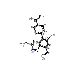 CN(C)/C=N\c1cc(-c2ncc(C(F)F)cn2)c(F)cc1C=O